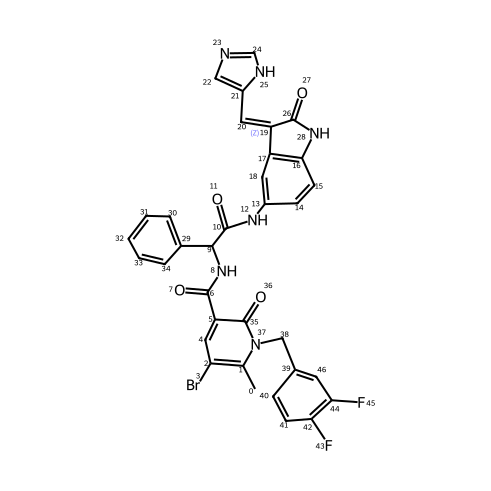 Cc1c(Br)cc(C(=O)NC(C(=O)Nc2ccc3c(c2)/C(=C/c2cnc[nH]2)C(=O)N3)c2ccccc2)c(=O)n1Cc1ccc(F)c(F)c1